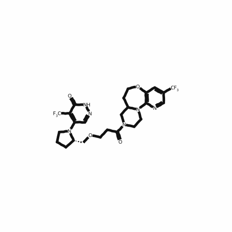 O=C(CCOC[C@@H]1CCCN1c1cn[nH]c(=O)c1C(F)(F)F)N1CCN2c3ncc(C(F)(F)F)cc3OCCC2C1